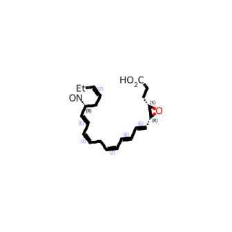 CC/C=C\C[C@H](/C=C/C=C\C\C=C/C=C/C=C/[C@H]1O[C@H]1CCC(=O)O)N=O